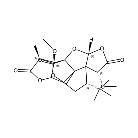 CO[C@H]1C(=O)O[C@H]2OC34C(=O)OC5C[C@@H](C(C)(C)C)C21C53CC1OC(=O)[C@@H](C)[C@@]14OC